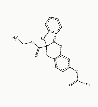 CCOC(=O)C1([Se]c2ccccc2)Cc2ccc(OC(C)=O)cc2OC1=O